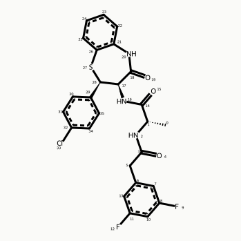 C[C@H](NC(=O)Cc1cc(F)cc(F)c1)C(=O)N[C@@H]1C(=O)Nc2ccccc2S[C@@H]1c1ccc(Cl)cc1